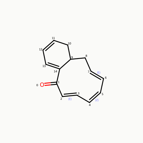 O=C1/C=C/C=C\C=C\CC2CC=CC=C12